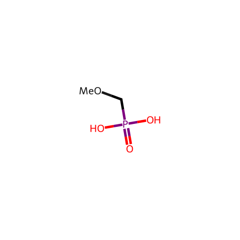 [CH2]OCP(=O)(O)O